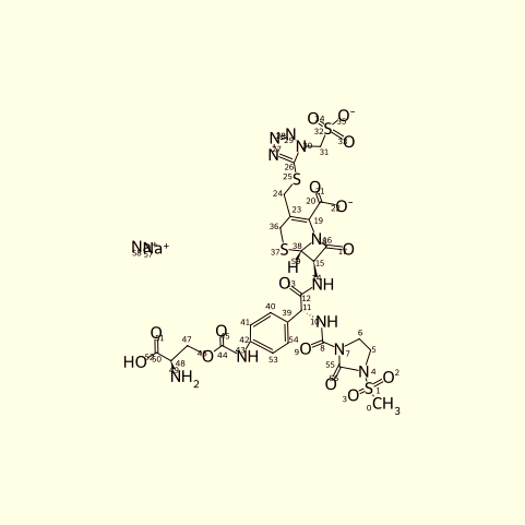 CS(=O)(=O)N1CCN(C(=O)N[C@@H](C(=O)N[C@@H]2C(=O)N3C(C(=O)[O-])=C(CSc4nnnn4CS(=O)(=O)[O-])CS[C@@H]23)c2ccc(NC(=O)OC[C@@H](N)C(=O)O)cc2)C1=O.[Na+].[Na+]